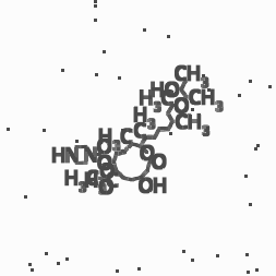 CC[C@H](O)C(C)O[C@@H](C)C[C@H](C)/C=C/C=C(\C)[C@H]1OC(=O)C[C@H](O)CC[C@@](C)(OC(C)=O)[C@@H](OC(=O)N2CCNCC2)/C=C/[C@@H]1C